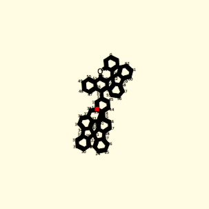 c1ccc2c(c1)Oc1c(cc(-c3ccc(-c4ccc5c(c4)C4(c6ccccc6-5)c5ccccc5-c5ccc6ccccc6c54)cc3)c3ccccc13)C21c2ccccc2-c2ccccc21